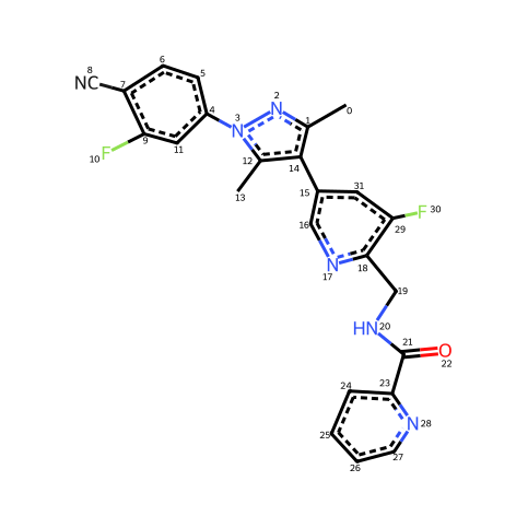 Cc1nn(-c2ccc(C#N)c(F)c2)c(C)c1-c1cnc(CNC(=O)c2ccccn2)c(F)c1